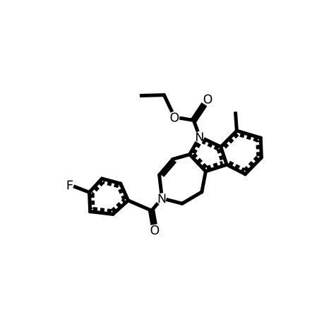 CCOC(=O)n1c2c(c3cccc(C)c31)CCN(C(=O)c1ccc(F)cc1)C=C2